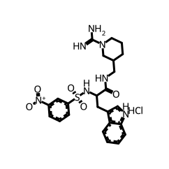 Cl.N=C(N)N1CCCC(CNC(=O)C(Cc2c[nH]c3ccccc23)NS(=O)(=O)c2cccc([N+](=O)[O-])c2)C1